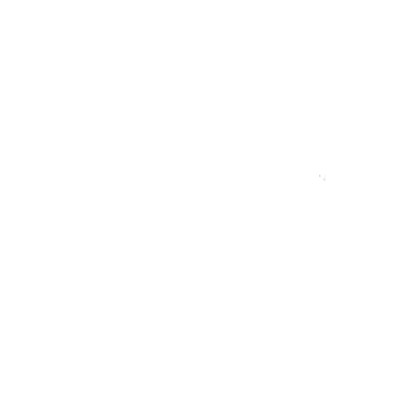 C1=Cc2c(sc3ccccc23)C(c2ccc(Cc3cccc4nc(-c5ccccc5)ccc34)cc2)C1